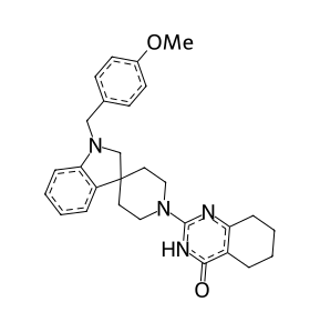 COc1ccc(CN2CC3(CCN(c4nc5c(c(=O)[nH]4)CCCC5)CC3)c3ccccc32)cc1